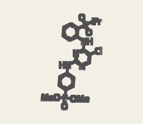 COP(=O)(OC)c1ccc(Nc2ncc(Cl)c(Nc3ccccc3S(=O)(=O)C(C)C)n2)cc1